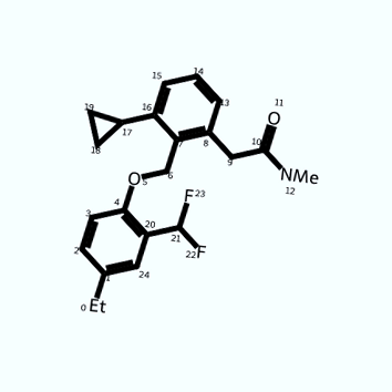 CCc1ccc(OCc2c(CC(=O)NC)cccc2C2CC2)c(C(F)F)c1